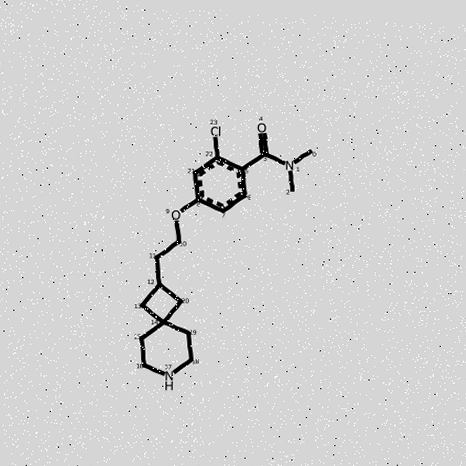 CN(C)C(=O)c1ccc(OCCC2CC3(CCNCC3)C2)cc1Cl